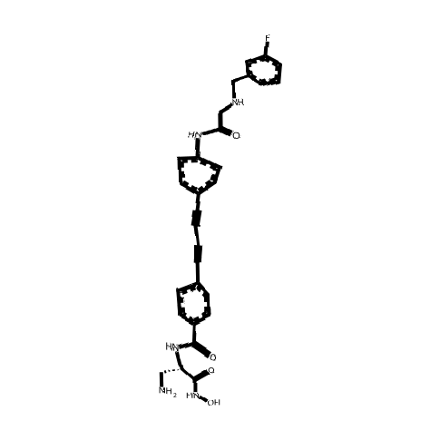 NC[C@H](NC(=O)c1ccc(C#CC#Cc2ccc(NC(=O)CNCc3cccc(F)c3)cc2)cc1)C(=O)NO